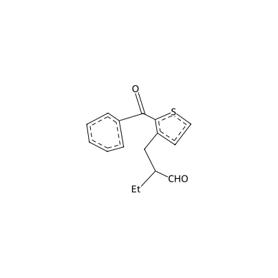 CCC(C=O)Cc1ccsc1C(=O)c1ccccc1